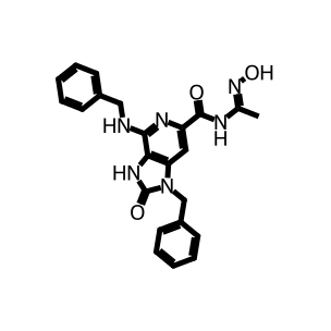 CC(=NO)NC(=O)c1cc2c([nH]c(=O)n2Cc2ccccc2)c(NCc2ccccc2)n1